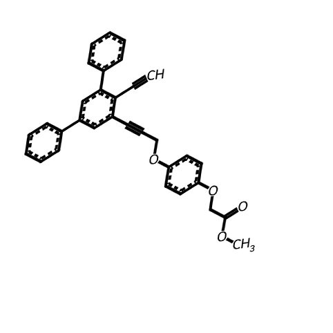 C#Cc1c(C#CCOc2ccc(OCC(=O)OC)cc2)cc(-c2ccccc2)cc1-c1ccccc1